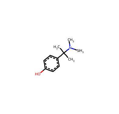 CN([SiH3])C(C)(C)c1ccc(O)cc1